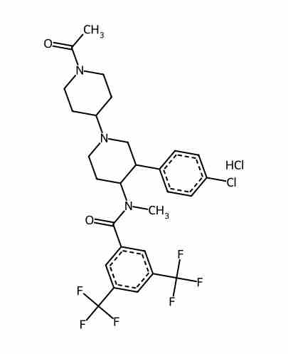 CC(=O)N1CCC(N2CCC(N(C)C(=O)c3cc(C(F)(F)F)cc(C(F)(F)F)c3)C(c3ccc(Cl)cc3)C2)CC1.Cl